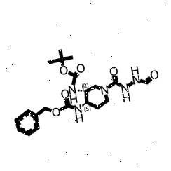 CC(C)(C)OC(=O)N[C@@H]1CN(C(=O)NNC=O)CC[C@@H]1NC(=O)OCc1ccccc1